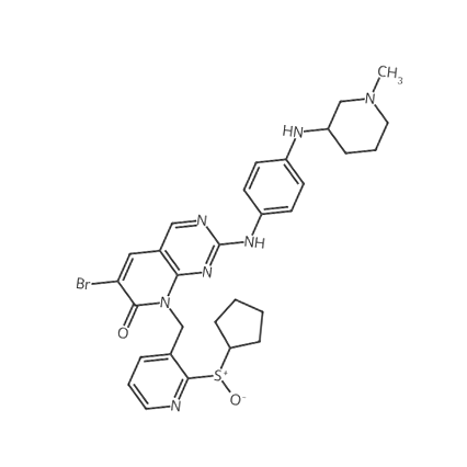 CN1CCCC(Nc2ccc(Nc3ncc4cc(Br)c(=O)n(Cc5cccnc5[S+]([O-])C5CCCC5)c4n3)cc2)C1